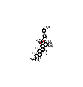 CC1(C)OC[C@]2(C)C3CC[C@]4(C)C(CC=C5C6CC(C)(C)[C@@H](O)[C@@H]7OC(C)(C)O[C@H](C[C@]54C)[C@]67COCc4cn(-c5ccc(C(=O)O)cc5)nn4)[C@@]3(C)CC[C@@H]2O1